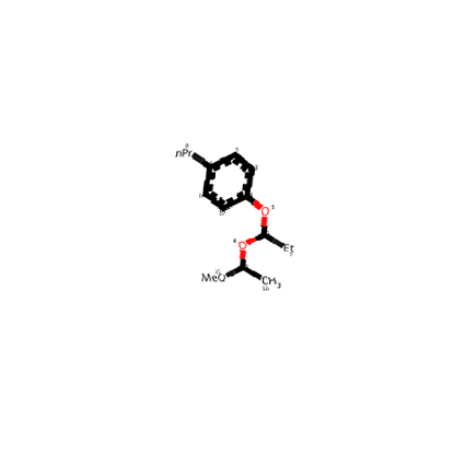 CCCc1ccc(OC(CC)OC(C)OC)cc1